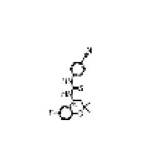 CC1(C)C[C@H](NC(=S)Nc2ccc(C#N)cc2)c2cc(F)ccc2O1